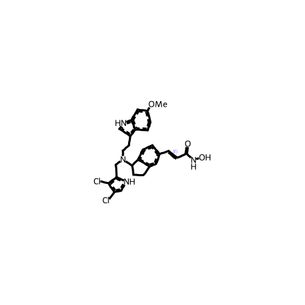 COc1ccc2c(CCN(Cc3[nH]cc(Cl)c3Cl)C3CCc4cc(/C=C/C(=O)NO)ccc43)c[nH]c2c1